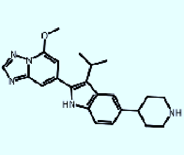 COc1cc(-c2[nH]c3ccc(C4CCNCC4)cc3c2C(C)C)cc2ncnn12